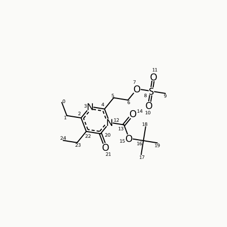 CCc1nc(CCOS(C)(=O)=O)n(C(=O)OC(C)(C)C)c(=O)c1CC